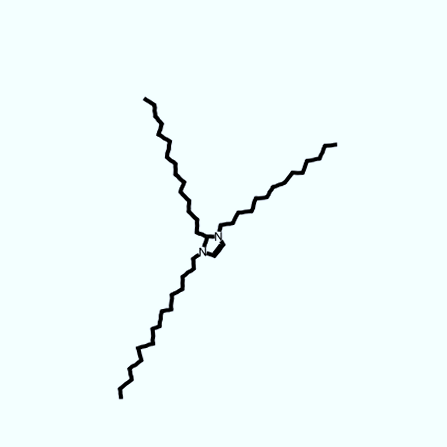 CCCCCCCCCCCCCCCCN1C=CN(CCCCCCCCCCCCCC)C1CCCCCCCCCCCCCCC